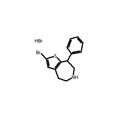 Br.Brc1cc2c(s1)C(c1ccccc1)CNCC2